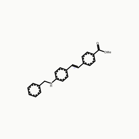 COC(=O)c1ccc(/C=C/c2ccc(NCc3ccccc3)cc2)cc1